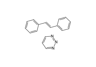 C(=Cc1ccccc1)c1ccccc1.c1cnnnc1